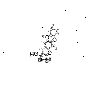 COc1cc(C)ccc1Oc1ccc2c(c1C)OC(C(F)(F)F)C(C(=O)O)=C2